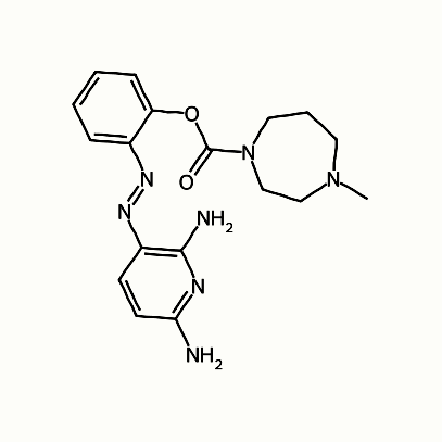 CN1CCCN(C(=O)Oc2ccccc2/N=N/c2ccc(N)nc2N)CC1